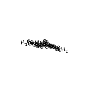 C=CC(=O)OCCOc1ccc2cc(C(=O)Oc3ccc(OC(=O)c4ccc5cc(OCCOC(=O)C=C)ccc5c4)c(C(=O)OC)c3)ccc2c1